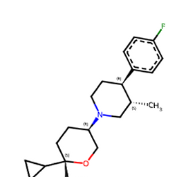 C[C@@H]1CN([C@@H]2CC[C@@](C(=O)O)(C3CC3)OC2)CC[C@H]1c1ccc(F)cc1